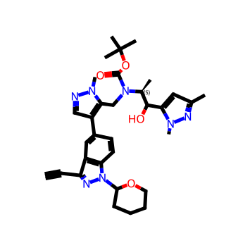 C#Cc1nn(C2CCCCO2)c2ccc(-c3cnn(C)c3CN(C(=O)OC(C)(C)C)[C@@H](C)C(O)c3cc(C)nn3C)cc12